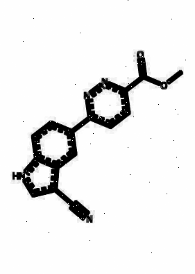 COC(=O)c1ccc(-c2ccc3[nH]cc(C#N)c3c2)nn1